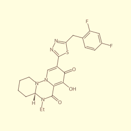 CCN1C(=O)c2c(O)c(=O)c(-c3nnc(Cc4ccc(F)cc4F)s3)cn2N2CCCC[C@@H]12